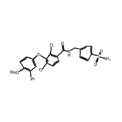 COc1ccc(Oc2c(Cl)ccc(C(=O)NCc3ccc(S(N)(=O)=O)cc3)c2Cl)cc1C(C)C